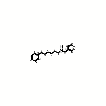 c1ccc(CCCCCCNCc2ccoc2)cc1